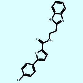 O=C(NCCc1nc2ccccc2[nH]1)c1ccc(-c2ccc(Cl)cc2)o1